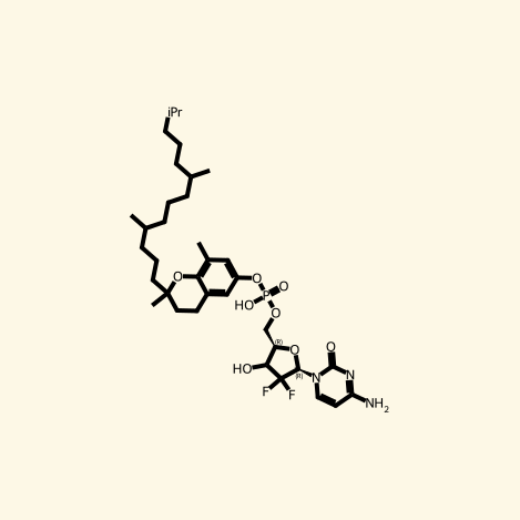 Cc1cc(OP(=O)(O)OC[C@H]2O[C@@H](n3ccc(N)nc3=O)C(F)(F)C2O)cc2c1OC(C)(CCCC(C)CCCC(C)CCCC(C)C)CC2